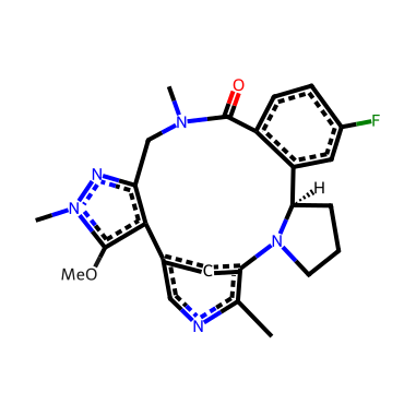 COc1c2c(nn1C)CN(C)C(=O)c1ccc(F)cc1[C@H]1CCCN1c1cc-2cnc1C